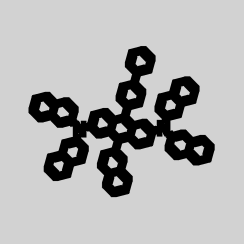 c1ccc(-c2ccc(-c3c4ccc(N(c5ccc6ccccc6c5)c5ccc6ccccc6c5)cc4c(-c4ccc5ccccc5c4)c4ccc(N(c5ccc6ccccc6c5)c5ccc6ccccc6c5)cc34)cc2)cc1